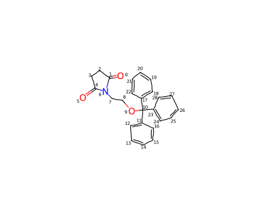 O=C1CCC(=O)N1CCOC(c1ccccc1)(c1ccccc1)c1ccccc1